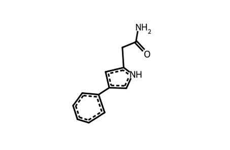 NC(=O)Cc1cc(-c2ccccc2)c[nH]1